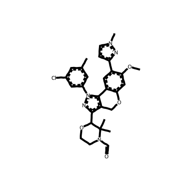 COc1cc2c(cc1-c1ccn(C)n1)-c1c(c(C3OCCN(C=O)C3(C)C)nn1-c1cc(C)cc(Cl)c1)CO2